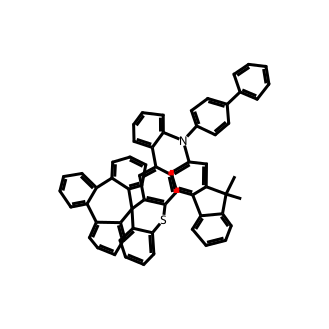 CC1(C)c2ccccc2-c2ccc(N(c3ccc(-c4ccccc4)cc3)c3ccccc3-c3ccc4c(c3)C3(c5ccccc5S4)c4ccccc4-c4ccccc4-c4ccccc43)cc21